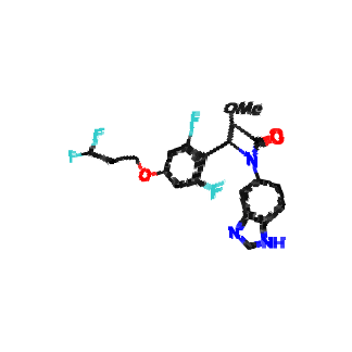 COC1C(=O)N(c2ccc3[nH]cnc3c2)C1c1c(F)cc(OCCC(F)F)cc1F